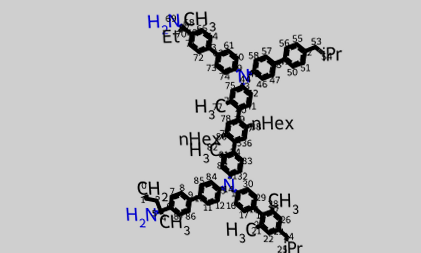 C=CCC(C)(N)c1ccc(-c2ccc(N(c3ccc(-c4c(C)cc(CC(C)C)cc4C)cc3)c3ccc(-c4cc(CCCCCC)c(-c5ccc(N(c6ccc(-c7ccc(CC(C)C)cc7)cc6)c6ccc(-c7ccc(C(C)(N)CC)cc7)cc6)cc5C)cc4CCCCCC)c(C)c3)cc2)cc1